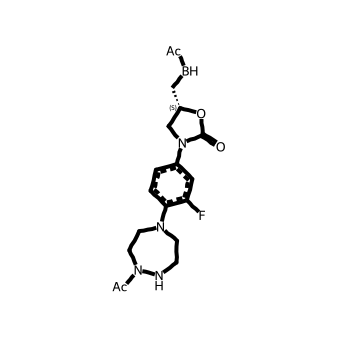 CC(=O)BC[C@H]1CN(c2ccc(N3CCNN(C(C)=O)CC3)c(F)c2)C(=O)O1